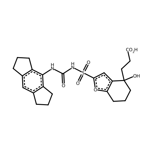 O=C(O)CCC1(O)CCCc2oc(S(=O)(=O)NC(=O)Nc3c4c(cc5c3CCC5)CCC4)cc21